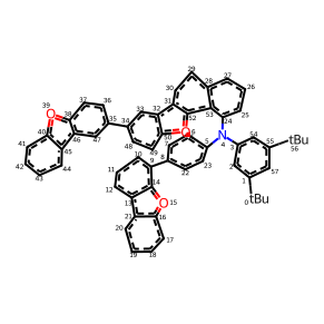 CC(C)(C)c1cc(N(c2ccc(-c3cccc4c3oc3ccccc34)cc2)c2cccc3ccc4c5cc(-c6ccc7oc8ccccc8c7c6)ccc5oc4c23)cc(C(C)(C)C)c1